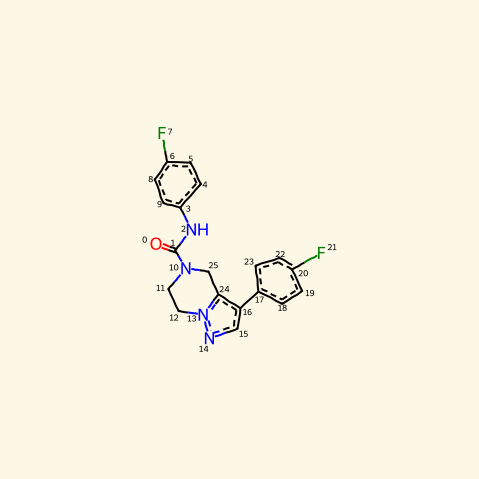 O=C(Nc1ccc(F)cc1)N1CCn2ncc(-c3ccc(F)cc3)c2C1